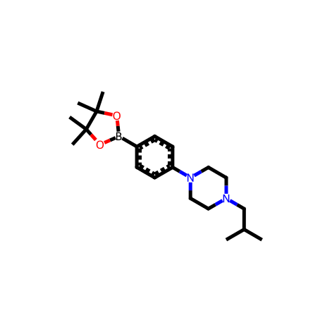 CC(C)CN1CCN(c2ccc(B3OC(C)(C)C(C)(C)O3)cc2)CC1